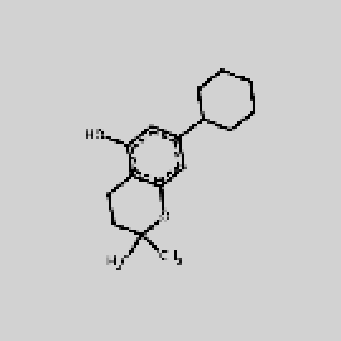 CC1(C)CCc2c(O)cc(C3CCCCC3)cc2O1